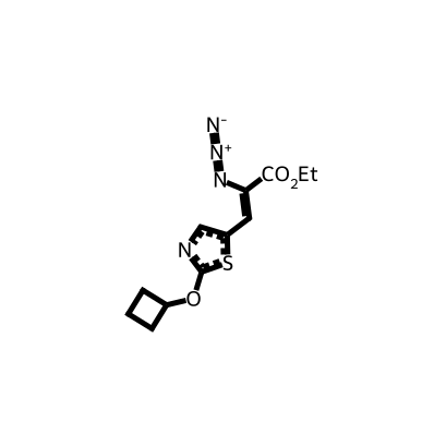 CCOC(=O)/C(=C/c1cnc(OC2CCC2)s1)N=[N+]=[N-]